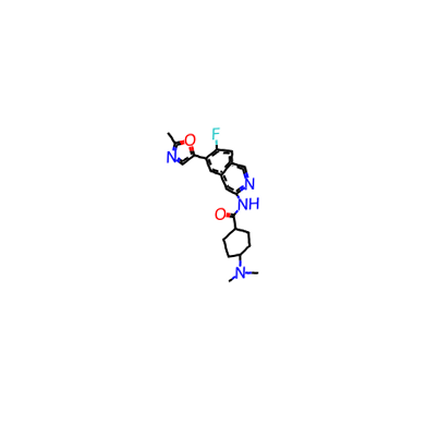 Cc1ncc(-c2cc3cc(NC(=O)C4CCC(N(C)C)CC4)ncc3cc2F)o1